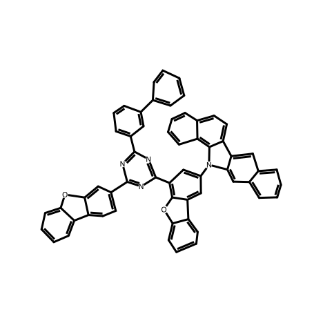 c1ccc(-c2cccc(-c3nc(-c4ccc5c(c4)oc4ccccc45)nc(-c4cc(-n5c6cc7ccccc7cc6c6ccc7ccccc7c65)cc5c4oc4ccccc45)n3)c2)cc1